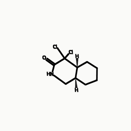 O=C1NC[C@@H]2CCCC[C@@H]2C1(Cl)Cl